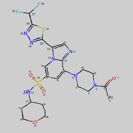 CC(C)C(=O)N1CCN(c2cc(S(=O)(=O)NC3CCOCC3)cn3c(-c4nnc(C(F)F)s4)cnc23)CC1